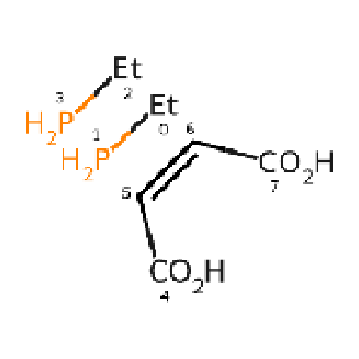 CCP.CCP.O=C(O)/C=C\C(=O)O